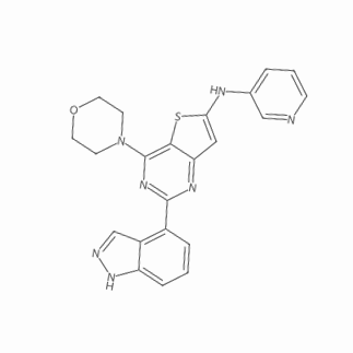 c1cncc(Nc2cc3nc(-c4cccc5[nH]ncc45)nc(N4CCOCC4)c3s2)c1